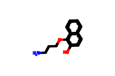 NCCCOc1c(O)ccc2ccccc12